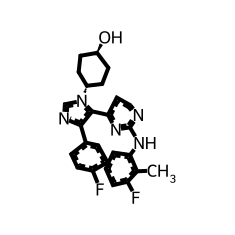 Cc1c(F)cccc1Nc1nccc(-c2c(-c3ccc(F)cc3)ncn2[C@H]2CC[C@H](O)CC2)n1